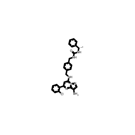 Bc1cnn2c(NCc3ccc(CNC(=O)N[C@@H](C)c4ccccc4)cc3)cc(-c3ccccc3Cl)nc12